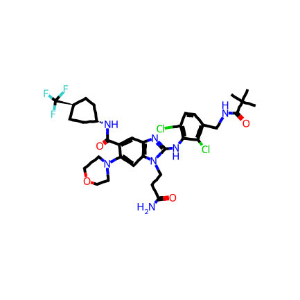 CC(C)(C)C(=O)NCc1ccc(Cl)c(Nc2nc3cc(C(=O)N[C@H]4CC[C@H](C(F)(F)F)CC4)c(N4CCOCC4)cc3n2CCC(N)=O)c1Cl